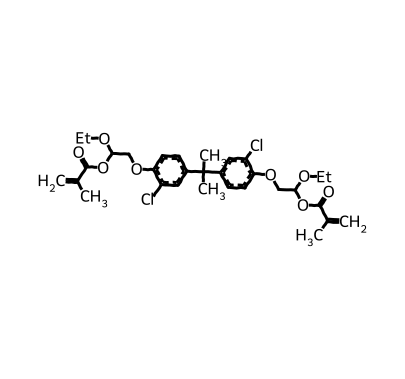 C=C(C)C(=O)OC(COc1ccc(C(C)(C)c2ccc(OCC(OCC)OC(=O)C(=C)C)c(Cl)c2)cc1Cl)OCC